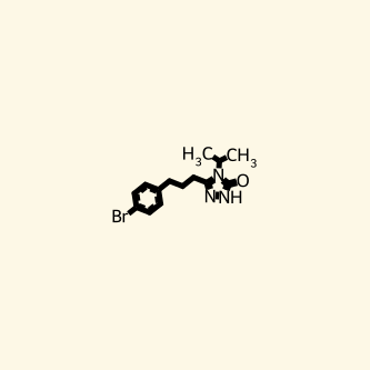 CC(C)n1c(CCCc2ccc(Br)cc2)n[nH]c1=O